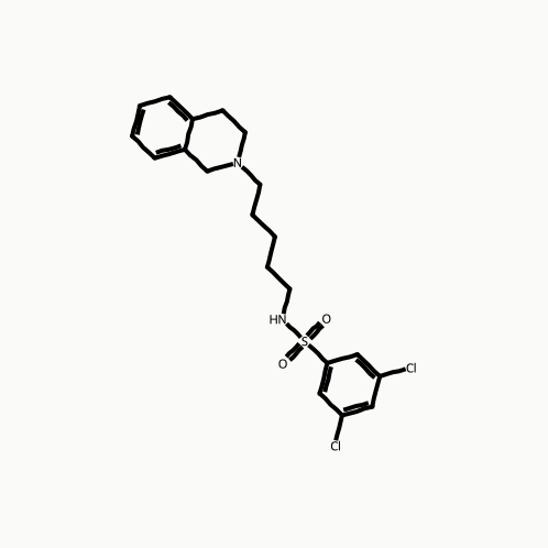 O=S(=O)(NCCCCCN1CCc2ccccc2C1)c1cc(Cl)cc(Cl)c1